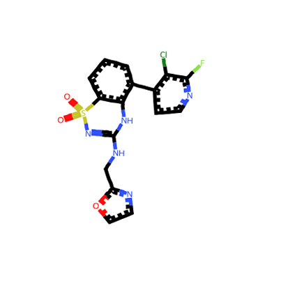 O=S1(=O)N=C(NCc2ncco2)Nc2c(-c3ccnc(F)c3Cl)cccc21